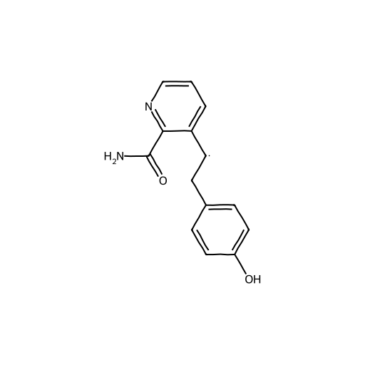 NC(=O)c1ncccc1[CH]Cc1ccc(O)cc1